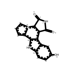 O=C1NC(=O)c2c1c1c3cc(O)ccc3[nH]c1c1cccn21